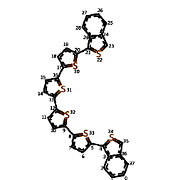 c1ccc2c(-c3ccc(-c4ccc(-c5ccc(-c6ccc(-c7scc8ccccc78)s6)s5)s4)s3)scc2c1